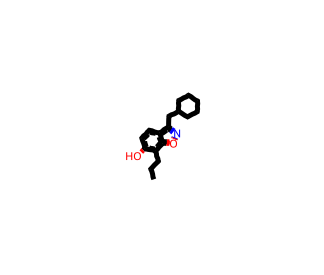 CCCc1c(O)ccc2c(CC3CCCCC3)noc12